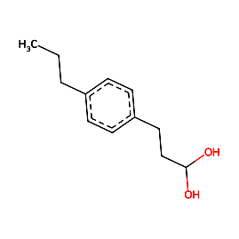 CCCc1ccc(CCC(O)O)cc1